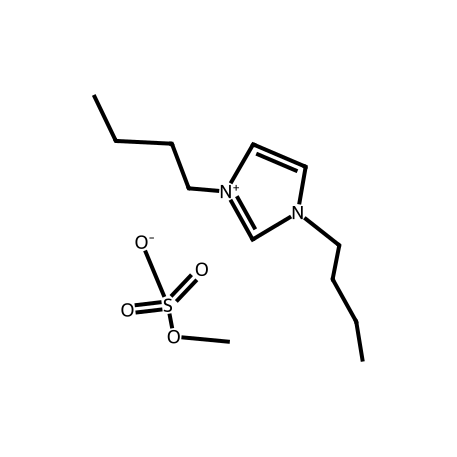 CCCCn1cc[n+](CCCC)c1.COS(=O)(=O)[O-]